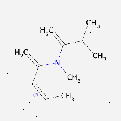 C=C(/C=C\C)N(C)C(=C)C(C)C